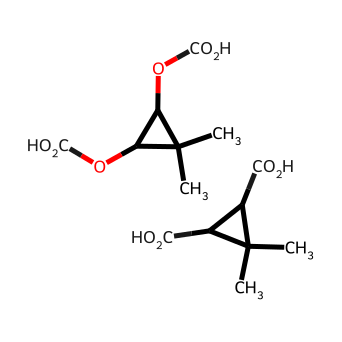 CC1(C)C(C(=O)O)C1C(=O)O.CC1(C)C(OC(=O)O)C1OC(=O)O